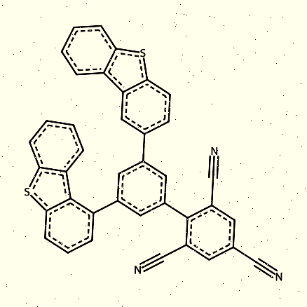 N#Cc1cc(C#N)c(-c2cc(-c3ccc4sc5ccccc5c4c3)cc(-c3cccc4sc5ccccc5c34)c2)c(C#N)c1